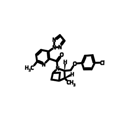 Cc1ccc(-n2nccn2)c(C(=O)N2C3CC(C3)[C@@H](C)[C@@H]2COc2ccc(Cl)cc2)n1